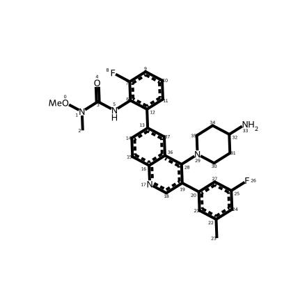 CON(C)C(=O)Nc1c(F)cccc1-c1ccc2ncc(-c3cc(C)cc(F)c3)c(N3CCC(N)CC3)c2c1